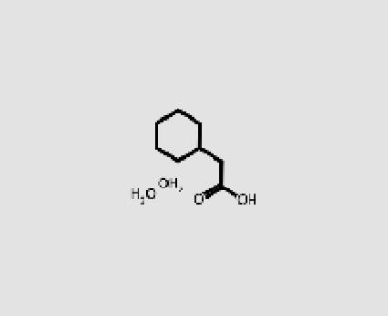 O.O.O=C(O)CC1CCCCC1